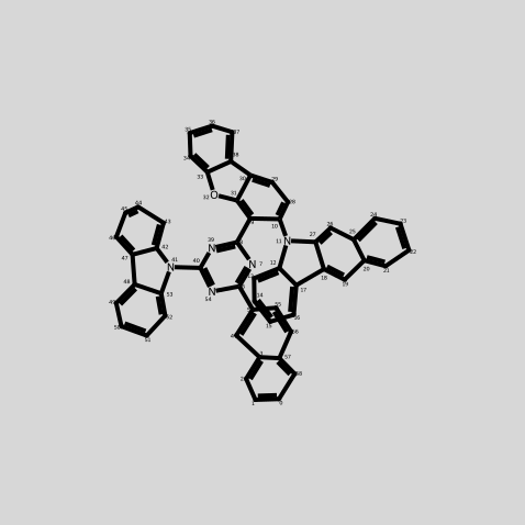 c1ccc2cc(-c3nc(-c4c(-n5c6ccccc6c6cc7ccccc7cc65)ccc5c4oc4ccccc45)nc(-n4c5ccccc5c5ccccc54)n3)ccc2c1